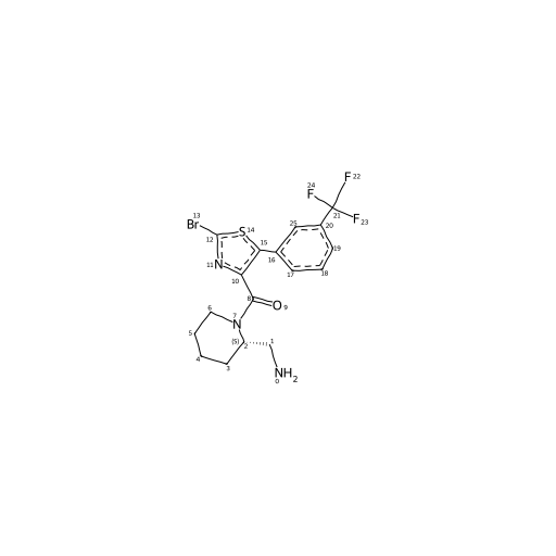 NC[C@@H]1CCCCN1C(=O)c1nc(Br)sc1-c1cccc(C(F)(F)F)c1